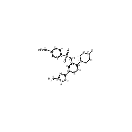 CCCCCc1ccc(S(=O)(=O)Nc2cc(-c3csc(N)n3)ccc2N2CCN(C)CC2)cc1